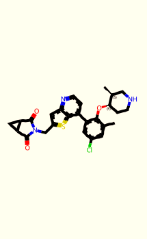 Cc1cc(Cl)cc(-c2ccnc3cc(CN4C(=O)C5CC5C4=O)sc23)c1O[C@@H]1CCNC[C@@H]1C